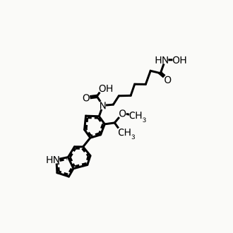 COC(C)c1cc(-c2ccc3cc[nH]c3c2)ccc1N(CCCCCCC(=O)NO)C(=O)O